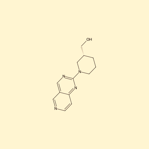 OC[C@@H]1CCCN(c2ncc3cnccc3n2)C1